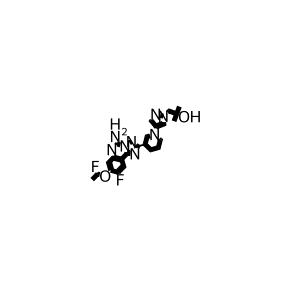 CC(F)Oc1cc2nc(N)n3nc([C@@H]4CCCN(c5cnn(CC(C)(C)O)c5)C4)nc3c2cc1F